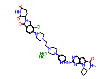 CN(C)C(=O)c1cc2cnc(Nc3ccc(N4CCN(CCN5CCN(c6ccc7c(c6Cl)CN(C6CCC(=O)NC6=O)C7=O)CC5)CC4)cn3)nc2n1C1CCCC1.Cl.Cl